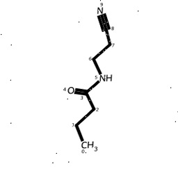 CCCC(=O)NCCC#N